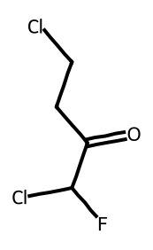 O=C(CCCl)C(F)Cl